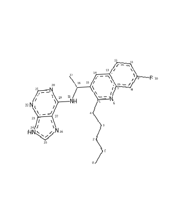 CCCCCc1nc2cc(F)ccc2cc1C(C)Nc1ncnc2[nH]cnc12